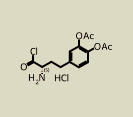 CC(=O)Oc1ccc(CC[C@H](N)C(=O)Cl)cc1OC(C)=O.Cl